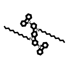 CCCCCCCCCCCCn1c2ccc(-n3c4ccccc4c4ccccc43)cc2c2cc3c(cc21)c1cc(-n2c4ccccc4c4ccccc42)ccc1n3CCCCCCCCCCCC